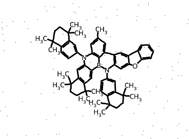 Cc1cc2c3c(c1)N(c1ccc4c(c1)C(C)(C)CCC4(C)C)c1cc4c(cc1B3N(c1ccc3c(c1)C(C)(C)CCC3(C)C)c1cc3oc5ccccc5c3cc1-2)C(C)(C)CCC4(C)C